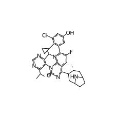 CC(C)c1ncnc(C(C)C)c1-n1c(=O)nc(C2CC3CCC(C[C@H]2C)N3)c2cc(F)c(-c3cc(O)cc(Cl)c3C3CC3)nc21